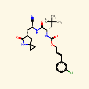 CC(C)(C)C[C@H](NC(=O)OC/C=C/c1cccc(Cl)c1)C(=O)N[C@H](C#N)C[C@@H]1CC2(CC2)NC1=O